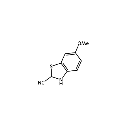 COc1ccc2c(c1)SC(C#N)N2